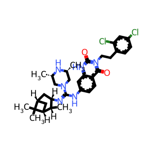 C[C@H]1[C@@H](/N=C(/Nc2ccc3c(=O)n(CCc4ccc(Cl)cc4Cl)c(=O)[nH]c3c2)N2C[C@@H](C)N[C@@H](C)C2)C[C@@H]2C[C@H]1C2(C)C